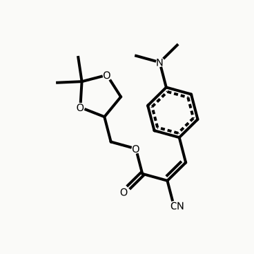 CN(C)c1ccc(C=C(C#N)C(=O)OCC2COC(C)(C)O2)cc1